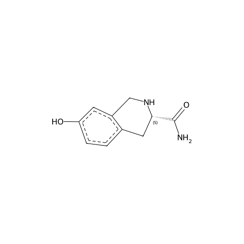 NC(=O)[C@@H]1Cc2ccc(O)cc2CN1